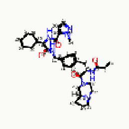 CCC(=O)N[C@H](Cc1ccc(CNC(=O)C(NC(=O)c2ccnn2C)C2CCCCC2)cc1)C(=O)N1CCN2CCC[C@@H]2C1